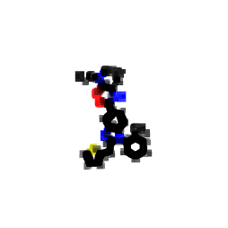 CC(C)C[C@H](NC(=O)c1ccc2c(c1)nc(Cc1cccs1)n2C1CCCCC1C)C(=O)N(C)C